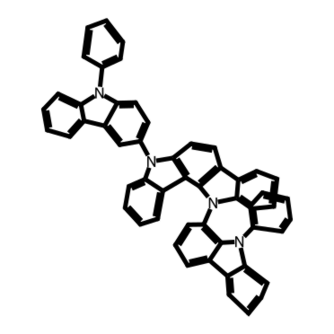 c1ccc(-n2c3ccccc3c3cc(-n4c5ccccc5c5c4ccc4c6ccccc6n(-c6cccc7c8ccccc8n(-c8ccccc8)c67)c45)ccc32)cc1